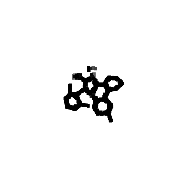 Cc1ccc2c(c1)c1ccccc1c1nc(O)c(-c3c(C)cccc3C)n21.[Ir+3]